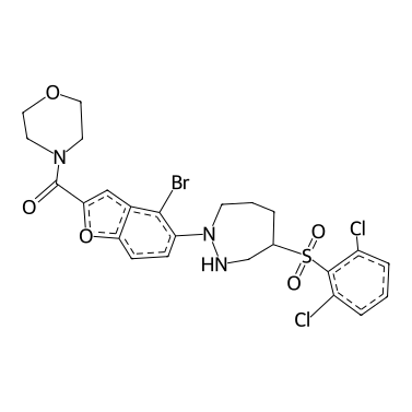 O=C(c1cc2c(Br)c(N3CCCC(S(=O)(=O)c4c(Cl)cccc4Cl)CN3)ccc2o1)N1CCOCC1